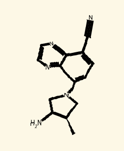 C[C@@H]1CN(c2ccc(C#N)c3nccnc23)CC1N